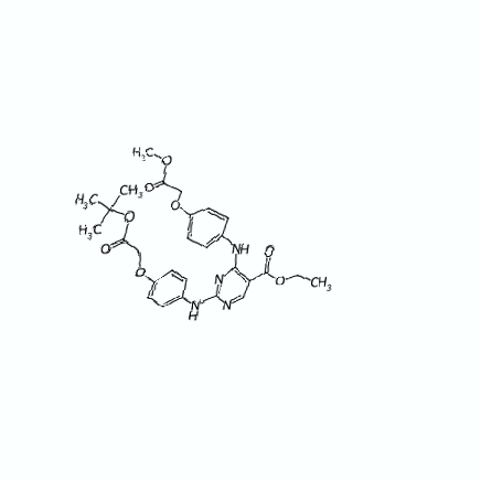 CCOC(=O)c1cnc(Nc2ccc(OCC(=O)OC(C)(C)C)cc2)nc1Nc1ccc(OCC(=O)OC)cc1